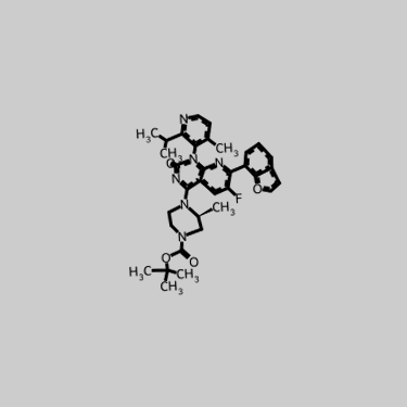 Cc1ccnc(C(C)C)c1-n1c(=O)nc(N2CCN(C(=O)OC(C)(C)C)C[C@@H]2C)c2cc(F)c(-c3cccc4ccoc34)nc21